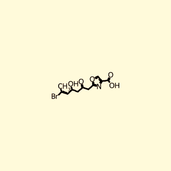 C/C(Br)=C\C(O)CC(=O)Cc1nc(C(=O)O)co1